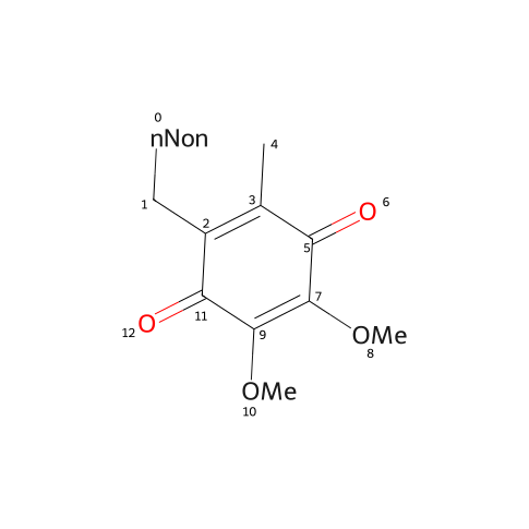 [CH2]CCCCCCCCCC1=C(C)C(=O)C(OC)=C(OC)C1=O